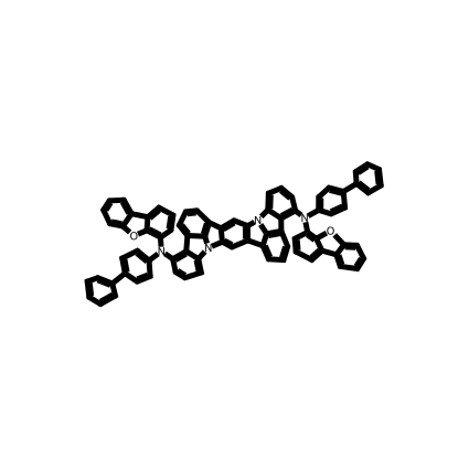 c1ccc(-c2ccc(N(c3cccc4c3oc3ccccc34)c3cccc4c3c3cccc5c6cc7c(cc6n4c53)c3cccc4c5c(N(c6ccc(-c8ccccc8)cc6)c6cccc8c6oc6ccccc68)cccc5n7c34)cc2)cc1